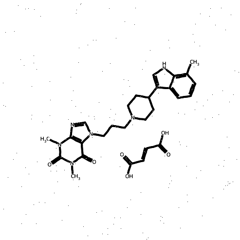 Cc1cccc2c(C3CCN(CCCn4cnc5c4c(=O)n(C)c(=O)n5C)CC3)c[nH]c12.O=C(O)C=CC(=O)O